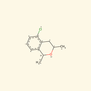 CC1Cc2c(Cl)cccc2C(C)O1